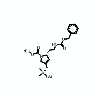 CC(C)(C)OC(=O)N1CC(O[Si](C)(C)C(C)(C)C)=C[C@H]1CCNC(=O)OCc1ccccc1